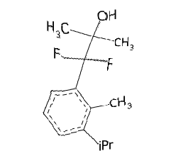 Cc1c(C(C)C)cccc1C(F)(F)C(C)(C)O